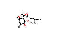 [2H]C1=C[C@]2(CO2)[C@@H](C2(C)O[C@@H]2CCC(C)C)[C@H](OC)C1=O